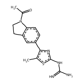 CC(=O)N1CCc2cc(-c3nc(NC(=N)N)sc3C)ccc21